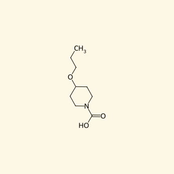 CCCOC1CCN(C(=O)O)CC1